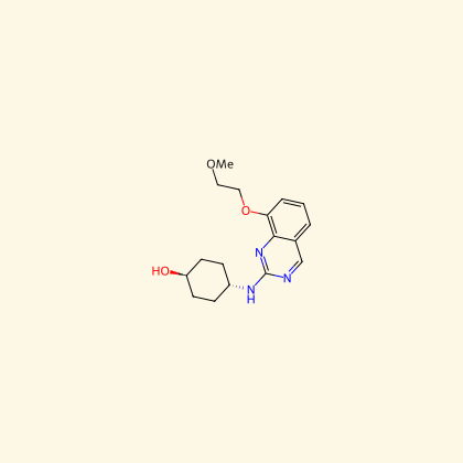 COCCOc1cccc2cnc(N[C@H]3CC[C@H](O)CC3)nc12